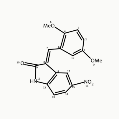 COc1ccc(OC)c(/C=C2/C(=O)Nc3ccc([N+](=O)[O-])cc32)c1